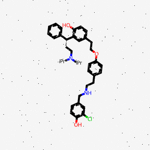 CC(C)N(CC[C@H](c1ccccc1)c1cc(CCOc2ccc(CCNCc3ccc(O)c(Cl)c3)cc2)ccc1O)C(C)C